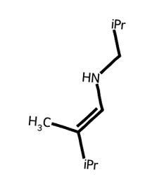 C/C(=C\NCC(C)C)C(C)C